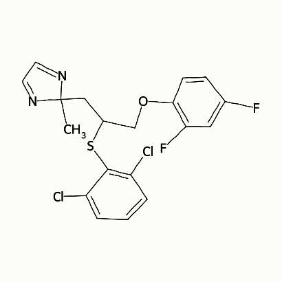 CC1(CC(COc2ccc(F)cc2F)Sc2c(Cl)cccc2Cl)N=CC=N1